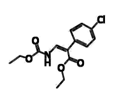 CCOC(=O)NC=C(C(=O)OCC)c1ccc(Cl)cc1